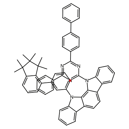 CC1(C)c2cccc(-c3cccc(-n4c5ccccc5c5ccc6c7ccccc7n(-c7nc(-c8ccccc8)nc(-c8ccc(-c9ccccc9)cc8)n7)c6c54)c3)c2C(C)(C)C1(C)C